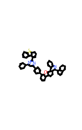 c1ccc(-c2cc(-c3ccc(-c4cccc5c4oc4c5ccc5c(-c6cccc7ccccc67)nc6ccccc6c54)cc3)nc(-c3cccc4sc5ccccc5c34)n2)cc1